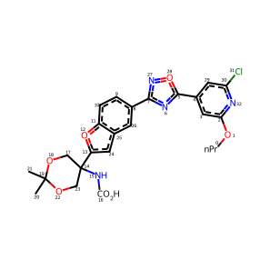 CCCOc1cc(-c2nc(-c3ccc4oc(C5(NC(=O)O)COC(C)(C)OC5)cc4c3)no2)cc(Cl)n1